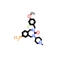 CC(C)Oc1ccc(CN2Cc3ccc(P)cc3CN(C3CCN(C)CC3)C2=O)c(F)c1